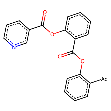 CC(=O)c1ccccc1OC(=O)c1ccccc1OC(=O)c1cccnc1